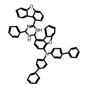 c1ccc(-c2ccc(N(c3ccc(-c4ccccc4)cc3)c3ccc(C4NC(c5cccc6oc7ccccc7c56)=NC(c5ccccc5)N4)c4c3oc3ccccc34)cc2)cc1